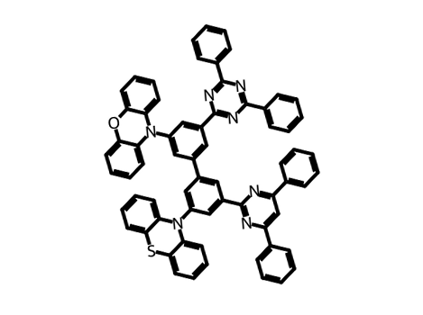 c1ccc(-c2cc(-c3ccccc3)nc(-c3cc(-c4cc(-c5nc(-c6ccccc6)nc(-c6ccccc6)n5)cc(N5c6ccccc6Oc6ccccc65)c4)cc(N4c5ccccc5Sc5ccccc54)c3)n2)cc1